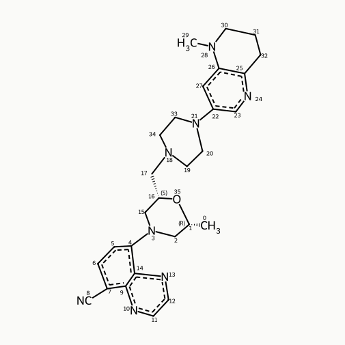 C[C@@H]1CN(c2ccc(C#N)c3nccnc23)C[C@H](CN2CCN(c3cnc4c(c3)N(C)CCC4)CC2)O1